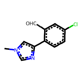 Cn1cnc(-c2ccc(Cl)cc2C=O)c1